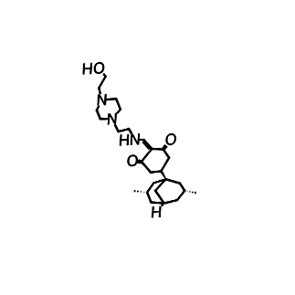 C[C@@H]1C[C@@H]2C[C@H](C)C[C@](C3CC(=O)C(=CNCCN4CCN(CCO)CC4)C(=O)C3)(C1)C2